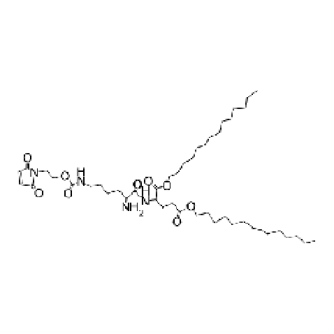 CCCCCCCCCCCCCCOC(=O)CCC(NC(=O)C(N)CCCCNC(=O)OCCN1C(=O)C=CC1=O)C(=O)OCCCCCCCCCCCCCC